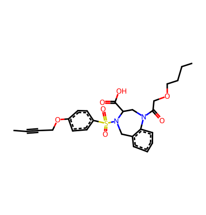 CC#CCOc1ccc(S(=O)(=O)N2Cc3ccccc3N(C(=O)COCCCC)CC2C(=O)O)cc1